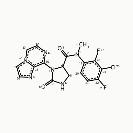 CN(C(=O)C1CNC(=O)N1c1nccn2ccnc12)c1ccc(F)c(Cl)c1F